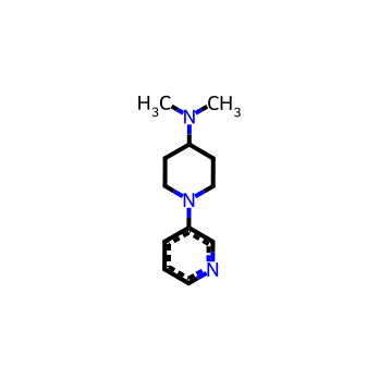 CN(C)C1CCN(c2cccnc2)CC1